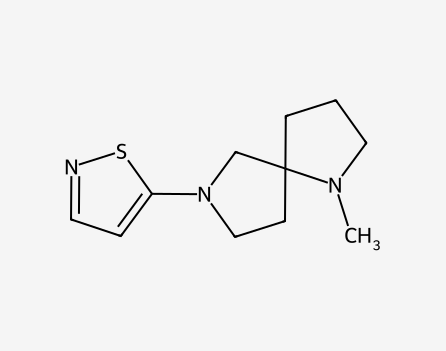 CN1CCCC12CCN(c1ccns1)C2